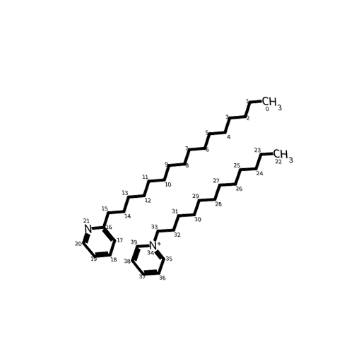 CCCCCCCCCCCCCCCCc1ccccn1.CCCCCCCCCCCC[n+]1ccccc1